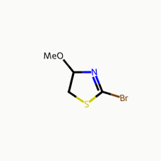 COC1CSC(Br)=N1